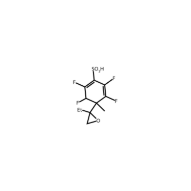 CCC1(C2(C)C(F)=C(F)C(S(=O)(=O)O)=C(F)C2F)CO1